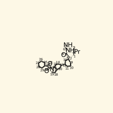 CC(C)C[C@@H](C(=O)NCN)c1cccc(-c2ccc3c(ccn3S(=O)(=O)c3ccccc3)c2)c1